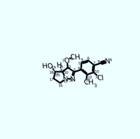 COC1C(c2ccc(C#N)c(Cl)c2C)=NN2CC[C@@H](O)[C@@H]12